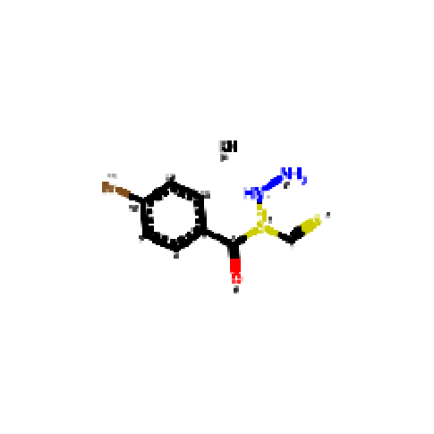 NN[SH](C=S)C(=O)c1ccc(Br)cc1.[KH]